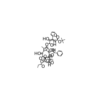 CCC(=O)O[C@H]1C[C@H]2OC[C@@]2(OC(C)=O)[C@H]2[C@H](OC(=O)c3ccccc3)[C@]3(O)C[C@H](OC(=O)[C@H](O)[C@@H](NC(=O)OC(C)(C)C)c4ccco4)C(C)=C([C@@H](O)C(=O)[C@]12C)C3(C)C